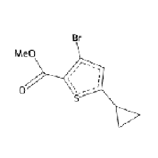 COC(=O)c1sc(C2CC2)cc1Br